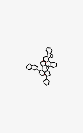 c1ccc(-c2ccc(N(c3ccccc3-c3ccccc3-c3ccc4ccccc4c3)c3ccccc3-c3cccc4c3oc3ccccc34)cc2)cc1